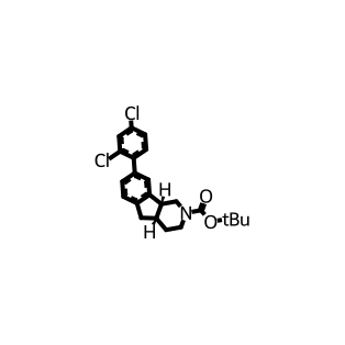 CC(C)(C)OC(=O)N1CC[C@@H]2Cc3ccc(-c4ccc(Cl)cc4Cl)cc3[C@@H]2C1